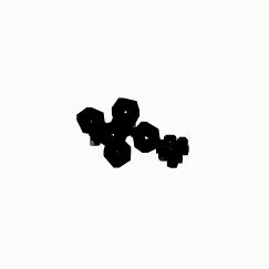 CC1(C)OB(c2ccc(-n3c4ccccc4c4c5c6ccccc6sc5c5ccccc5c43)cc2)OC1(C)C